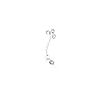 O=C(CCCCCCCCCCC[P+](c1ccccc1)(c1ccccc1)c1ccccn1)N[C@H](CO)[C@H](O)c1ccc([N+](=O)[O-])cc1.[Cl-]